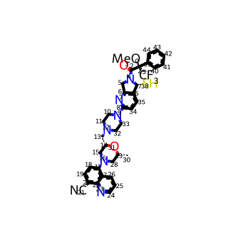 CO[C@](C(=O)N1Cc2nc(N3CCN(C[C@H]4CN(c5ccc(C#N)c6ncccc56)C[C@@H](C)O4)CC3)ccc2[C@H]1S)(c1ccccc1)C(F)(F)F